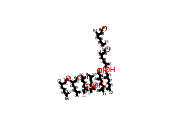 C=CC(C)(O)CCC=C(C)C.C=CC(C)(O)CCC=C(C)C.CC(C)=CCC/C(C)=C/CO.CC(C)=CCC/C(C)=C/CO.CC(C)=CCCC(C)=CC=O.CC(C)=CCCC(C)=CC=O.CC(C)=CCCC(C)CC=O.CC(C)=CCCC(C)CC=O